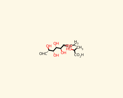 CC(=O)O.CC(O)C(=O)O.O=C[C@H](O)[C@@H](O)[C@H](O)[C@H](O)CO